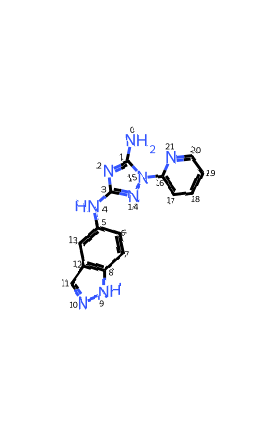 Nc1nc(Nc2ccc3[nH]ncc3c2)nn1-c1ccccn1